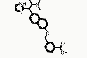 CC(C(c1ccc2cc(OCc3cccc(C(=O)O)c3)ccc2c1)c1ncc[nH]1)N(C)C